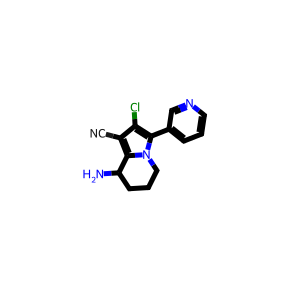 N#Cc1c(Cl)c(-c2cccnc2)n2c1C(N)CCC2